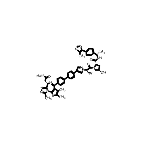 COC(=O)C[C@@H]1N=C(c2ccc(-c3ccc(-c4cnn([C@@H](C(=O)N5C[C@H](O)C[C@H]5C(=O)N[C@@H](C)c5ccc(-c6scnc6C)cc5)C(C)C)c4)cc3)cc2)c2c(sc(C)c2C)-n2c(C)nnc21